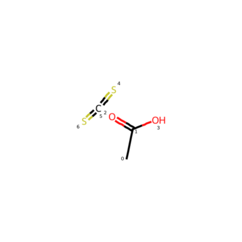 CC(=O)O.S=C=S